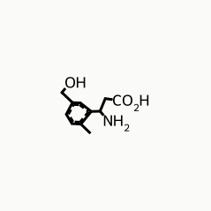 Cc1ccc(CO)cc1C(N)CC(=O)O